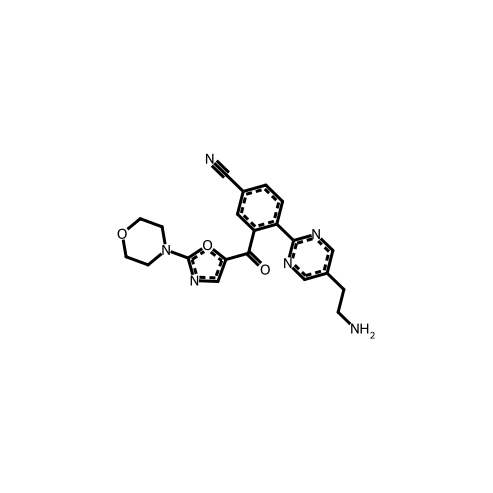 N#Cc1ccc(-c2ncc(CCN)cn2)c(C(=O)c2cnc(N3CCOCC3)o2)c1